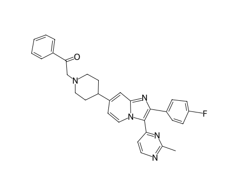 Cc1nccc(-c2c(-c3ccc(F)cc3)nc3cc(C4CCN(CC(=O)c5ccccc5)CC4)ccn23)n1